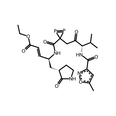 CCOC(=O)/C=C/[C@H](C[C@@H]1CCNC1=O)NC(=O)C1(CC(=O)[C@@H](NC(=O)c2cc(C)on2)C(C)C)P=P1